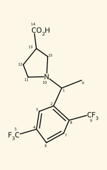 CC(c1cc(C(F)(F)F)ccc1C(F)(F)F)N1CCC(C(=O)O)C1